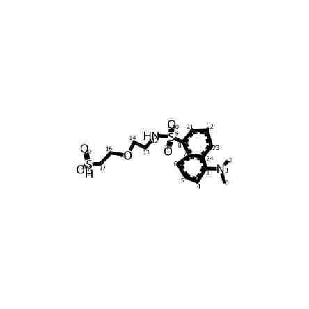 CN(C)c1cccc2c(S(=O)(=O)NCCOCC[SH](=O)=O)cccc12